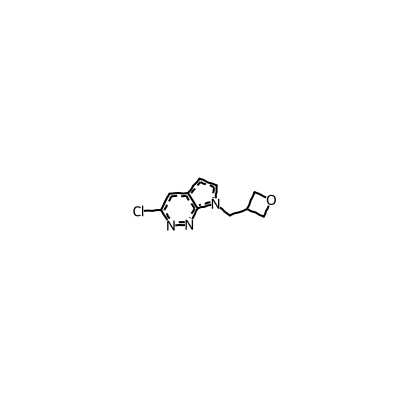 Clc1cc2ccn(CC3COC3)c2nn1